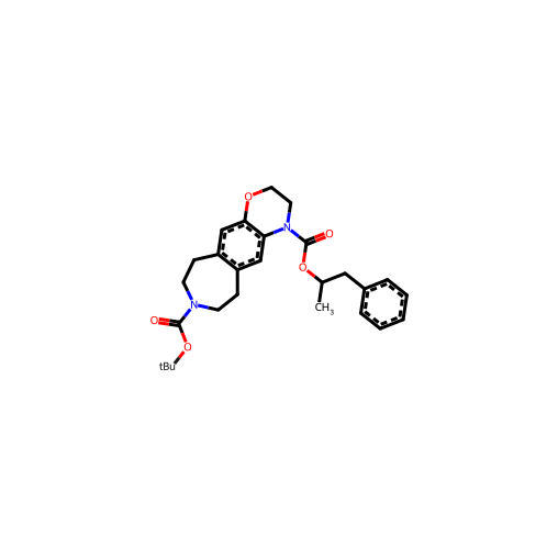 CC(Cc1ccccc1)OC(=O)N1CCOc2cc3c(cc21)CCN(C(=O)OC(C)(C)C)CC3